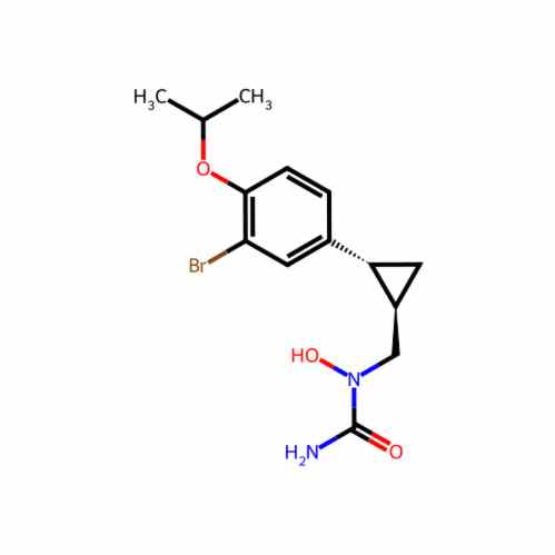 CC(C)Oc1ccc([C@@H]2C[C@H]2CN(O)C(N)=O)cc1Br